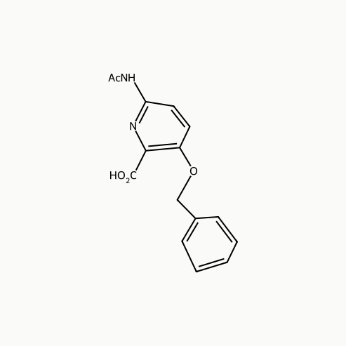 CC(=O)Nc1ccc(OCc2ccccc2)c(C(=O)O)n1